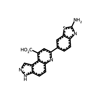 Nc1nc2ccc(-c3cc(C(=O)O)c4c(ccc5[nH]ncc54)n3)cc2s1